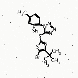 Cc1ccc(-n2nnnc2Sc2nc(C(C)(C)C)c(Br)s2)c(S)c1